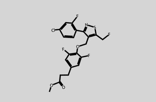 COC(=O)CCc1cc(F)c(OCc2c(-c3ccc(Cl)cc3F)nsc2CF)c(F)c1